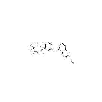 CCOc1cnc2c(Nc3ccc(F)c([C@]4(CF)CS(O)(O)C5(CCC5)C(N)=N4)c3)nccc2n1